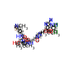 COc1cc(Nc2c(C#N)cnc3cc(OCCCN4CCN(C(=O)CCCCC(=O)N[C@H](C(=O)N5C[C@H](O)C[C@H]5C(=O)NCc5ccc(-c6scnc6C)cc5)C(C)(C)C)CC4)c(OC)cc23)c(Cl)cc1Cl